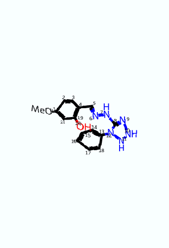 COc1ccc(/C=N/NC2=NNNN2c2ccccc2)c(O)c1